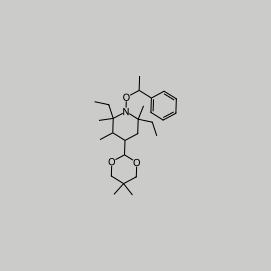 CCC1(C)CC(C2OCC(C)(C)CO2)C(C)C(C)(CC)N1OC(C)c1ccccc1